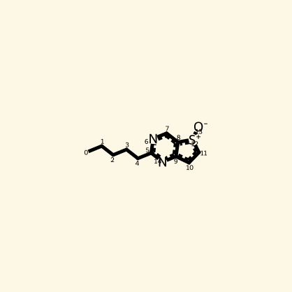 CCCCCc1ncc2c(cc[s+]2[O-])n1